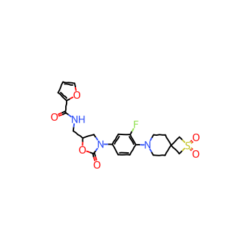 O=C(NCC1CN(c2ccc(N3CCC4(CC3)CS(=O)(=O)C4)c(F)c2)C(=O)O1)c1ccco1